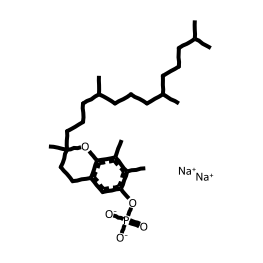 Cc1c(OP(=O)([O-])[O-])cc2c(c1C)OC(C)(CCCC(C)CCCC(C)CCCC(C)C)CC2.[Na+].[Na+]